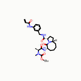 C=CC(=O)Nc1cccc(CNC(=O)[C@@H]2CC[C@@H]3CCCC[C@H](NC(=O)[C@H](C)N(C)C(=O)OC(C)(C)C)C(=O)N32)c1